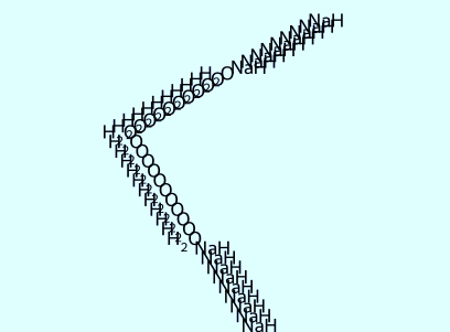 O.O.O.O.O.O.O.O.O.O.O.O.O.O.O.O.O.O.O.O.O.O.[NaH].[NaH].[NaH].[NaH].[NaH].[NaH].[NaH].[NaH].[NaH].[NaH].[NaH].[NaH].[NaH].[NaH].[NaH].[NaH].[NaH].[NaH]